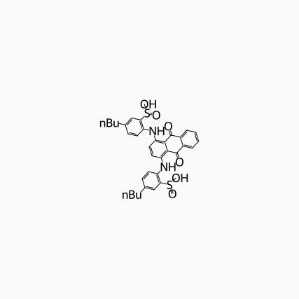 CCCCc1ccc(Nc2ccc(Nc3ccc(CCCC)cc3S(=O)O)c3c2C(=O)c2ccccc2C3=O)c(S(=O)O)c1